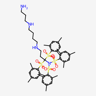 Cc1cc(C)c(S(=O)(=O)N(C(CCNCCCCNCCCN)(S(=O)(=O)c2c(C)cc(C)cc2C)S(=O)(=O)c2c(C)cc(C)cc2C)S(=O)(=O)c2c(C)cc(C)cc2C)c(C)c1